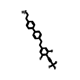 CCCc1ccc(-c2ccc(CCc3cc(F)c(C#CC(F)(F)F)c(F)c3)cc2)cc1